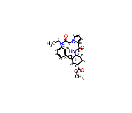 CCN(C(=O)Cn1cccc1C(=O)N[C@H]1CC[C@H](C(=O)OC)CC1)c1cccc(C)c1